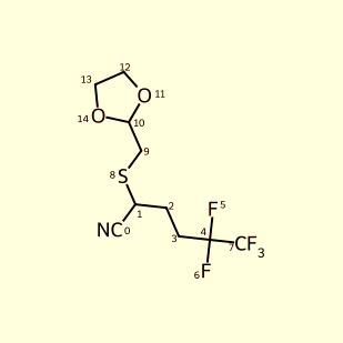 N#CC(CCC(F)(F)C(F)(F)F)SCC1OCCO1